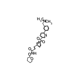 CN(C)Cc1cccc(-c2ccc(S(=O)(=O)n3ccc(/C=C/C(=O)NOC4CCCCO4)c3)cn2)c1